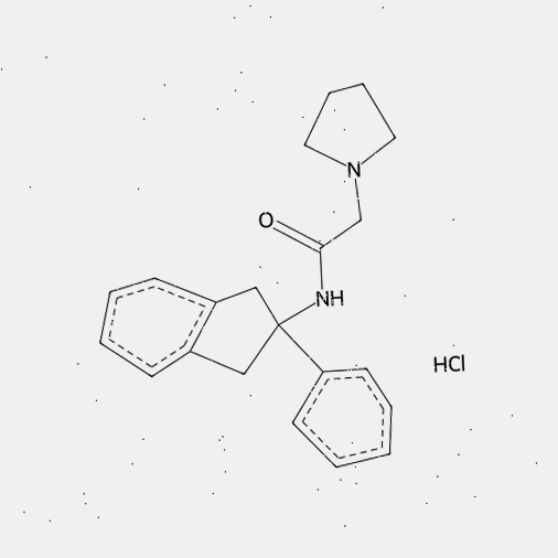 Cl.O=C(CN1CCCC1)NC1(c2ccccc2)Cc2ccccc2C1